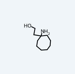 NC1(CCO)CCCCCCC1